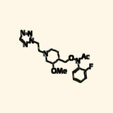 COC1CN(CCn2ncnn2)CCC1CON(C(C)=O)c1ccccc1F